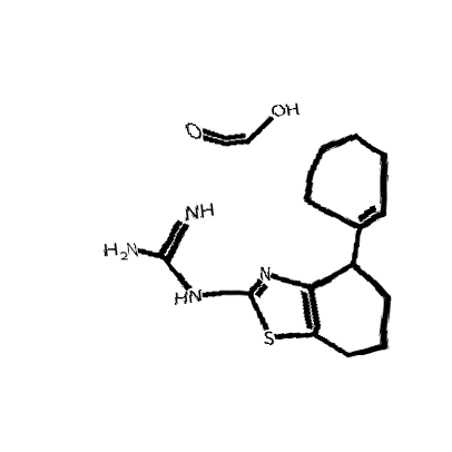 N=C(N)Nc1nc2c(s1)CCCC2C1=CCCCC1.O=CO